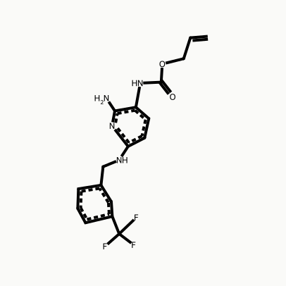 C=CCOC(=O)Nc1ccc(NCc2cccc(C(F)(F)F)c2)nc1N